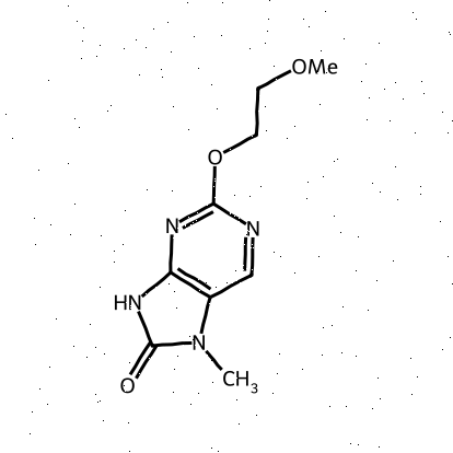 COCCOc1ncc2c(n1)[nH]c(=O)n2C